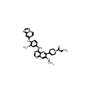 C=CC(=O)N1CC=C(c2nc3c(Nc4ccc(Oc5ccn6ncnc6c5)c(C)c4)ncnc3cc2OC)CC1